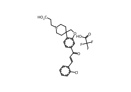 O=C(O)C(F)(F)F.O=C(O)CCN1CCC2(CC1)COc1cc(C(=O)C=Cc3ccccc3Cl)ccc12